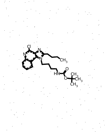 CCCCc1nc2c(Cl)nc3ccccc3c2n1CCCCNC(=O)OC(C)(C)C